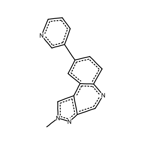 Cn1cc2c(cnc3ccc(-c4cccnc4)cc32)n1